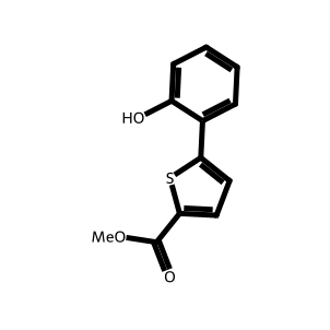 COC(=O)c1ccc(-c2ccccc2O)s1